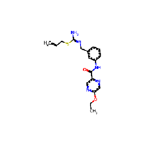 C=CCS/C(N)=N\Cc1cccc(NC(=O)c2cnc(OCC)cn2)c1